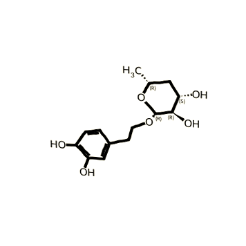 C[C@@H]1C[C@H](O)[C@@H](O)[C@H](OCCc2ccc(O)c(O)c2)O1